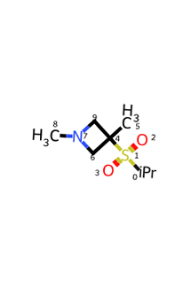 CC(C)S(=O)(=O)C1(C)CN(C)C1